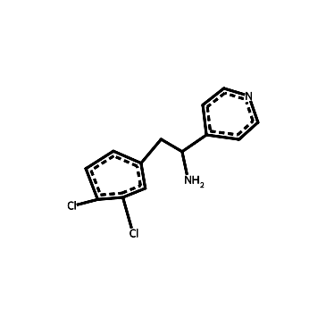 NC(Cc1ccc(Cl)c(Cl)c1)c1ccncc1